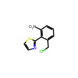 O=[N+]([O-])c1cccc(CCl)c1-c1nccs1